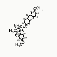 COC(=O)C(CCCN1CCC(=Cc2cccc(OC)c2)CC1)(c1ccc(OC)cc1)C(C)C